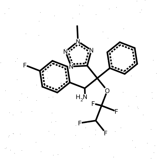 Cn1nnc(C(OC(F)(F)C(F)F)(c2ccccc2)C(N)c2ccc(F)cc2)n1